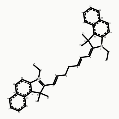 CCN1/C(=C/C=C/CC/C=C/C2=[N+](CC)c3ccc4ccccc4c3C2(C)C)C(C)(C)c2c1ccc1ccccc21